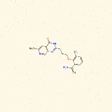 COc1cc2c(=O)[nH]c(CCCOc3c([C@@H](C)N)cccc3C(F)(F)F)nc2cn1